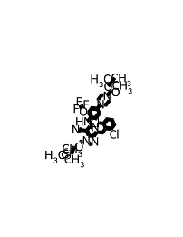 CC(C)(C)OC(=O)N1CCN(c2ccc(Nc3nc(Cc4c(Cl)cccc4Cl)c4ncn(COCC[Si](C)(C)C)c4c3C#N)c(OC(F)(F)F)c2)CC1